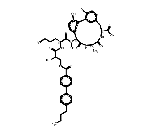 CCCCc1ccc(-c2ccc(C(=O)NCC(C)C(=O)N[C@@H](CCCN)C(=O)N(C)[C@@H]3C(=O)N[C@@H](C)C(=O)N[C@H](C(=O)O)Cc4ccc(O)c(c4)-c4cc3ccc4O)cc2)cc1